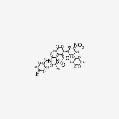 CC1CN(C(=O)COc2c(-c3ccccc3)cc([N+](=O)[O-])cc2-c2ccccc2)C(C)CN1Cc1ccc(F)cc1